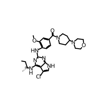 CC[C@@H](C)Nc1nc(Nc2ccc(C(=O)N3CCC(N4CCOCC4)CC3)cc2OC)nc2[nH]cc(Cl)c12